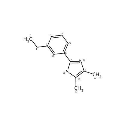 CCc1cccc(-c2nc(C)c(C)s2)c1